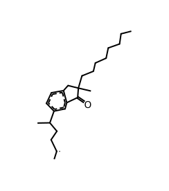 C[CH]CCC(C)c1ccc2c(c1)C(=O)C(C)(CCCCCCCC)C2